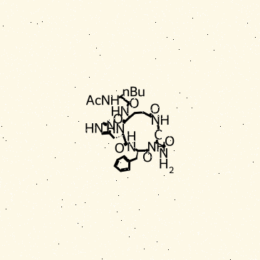 CCCC[C@H](NC(C)=O)C(=O)N[C@H]1CCC(=O)NCC[C@@H](C(N)=O)NC(=O)[C@@H](Cc2ccccc2)NC(=O)[C@H](Cc2c[nH]cn2)NC1=O